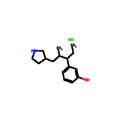 CCC(c1cccc(O)c1)C(C)CC1CCNC1.Cl